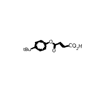 CC(C)(C)c1ccc(OC(=O)C=CC(=O)O)cc1